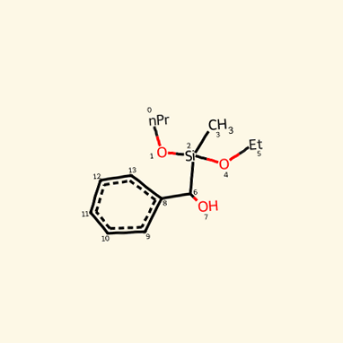 CCCO[Si](C)(OCC)C(O)c1ccccc1